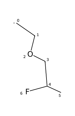 [CH2]COCC(C)F